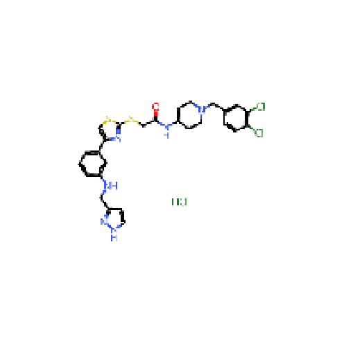 Cl.O=C(CSc1nc(-c2cccc(NCc3cc[nH]n3)c2)cs1)NC1CCN(Cc2ccc(Cl)c(Cl)c2)CC1